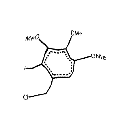 COc1cc(CCl)c(I)c(OC)c1OC